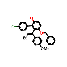 CCC=C(c1ccc(OC)cc1)c1c(OCc2ccccc2)ccc([O])c1-c1ccc(Cl)cc1